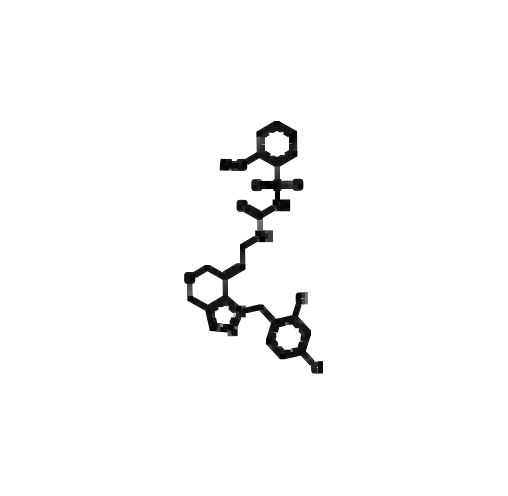 COc1ccccc1S(=O)(=O)NC(=O)NC/C=C1\COCc2cnn(Cc3ccc(Cl)cc3Cl)c21